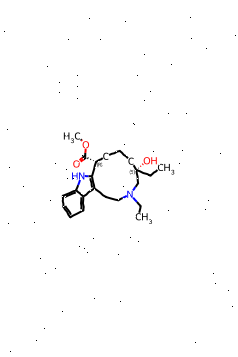 CCN1CCc2c([nH]c3ccccc23)[C@H](C(=O)OC)CCC[C@@](O)(CC)C1